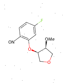 CO[C@H]1COC[C@H]1Oc1cc(F)ccc1N=O